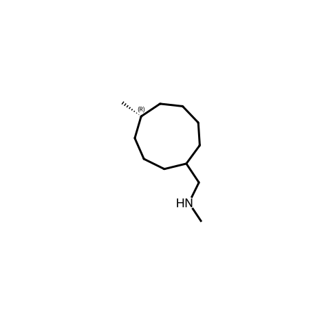 CNCC1CCCC[C@@H](C)CCC1